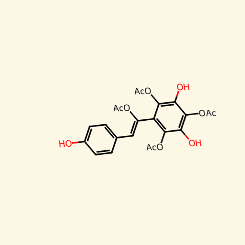 CC(=O)OC(=Cc1ccc(O)cc1)c1c(OC(C)=O)c(O)c(OC(C)=O)c(O)c1OC(C)=O